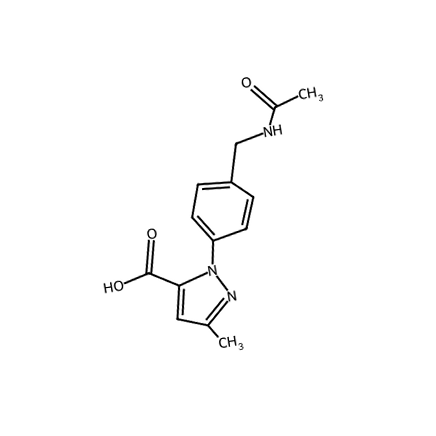 CC(=O)NCc1ccc(-n2nc(C)cc2C(=O)O)cc1